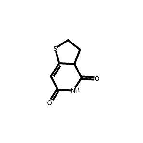 O=C1C=C2SCCC2C(=O)N1